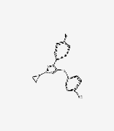 Clc1ccc(Sc2cn(C3CC3)nc2-c2ccc(Br)cc2)cc1